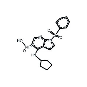 O=S(=O)(c1ccccc1)n1ccc2c(NC3CCCC3)c([NH+]([O-])O)cnc21